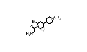 CCC1CC(C2CCN(C)CC2)CCN1C(=O)CN.Cl.Cl